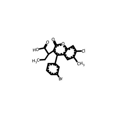 CCC(C(=O)O)c1c(-c2cccc(Br)c2)c2cc(C)c(Cl)cc2oc1=O